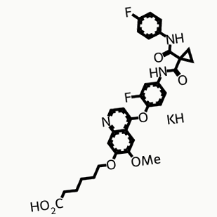 COc1cc2c(Oc3ccc(NC(=O)C4(C(=O)Nc5ccc(F)cc5)CC4)cc3F)ccnc2cc1OCCCCCC(=O)O.[KH]